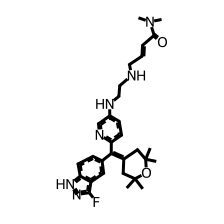 CN(C)C(=O)/C=C/CNCCNc1ccc(C(=C2CC(C)(C)OC(C)(C)C2)c2ccc3[nH]nc(F)c3c2)nc1